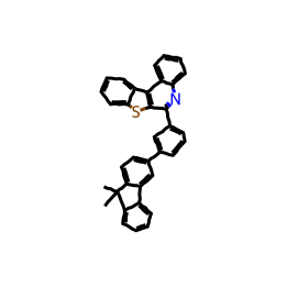 CC1(C)c2ccccc2-c2cc(-c3cccc(-c4nc5ccccc5c5c4sc4ccccc45)c3)ccc21